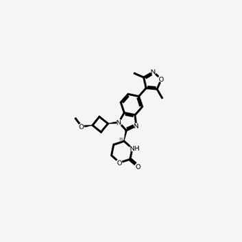 CO[C@H]1C[C@@H](n2c([C@@H]3CCOC(=O)N3)nc3cc(-c4c(C)noc4C)ccc32)C1